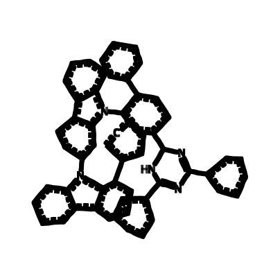 c1ccc(C2=NC(c3ccc(-c4ccccc4)c(-n4c5ccccc5c5ccc(-n6c7ccccc7c7cccc(-c8ccccc8)c76)cc54)c3)NC(c3ccccc3)=N2)cc1